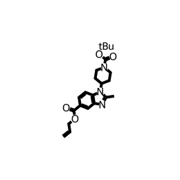 C=CCOC(=O)c1ccc2c(c1)nc(C)n2C1CCN(C(=O)OC(C)(C)C)CC1